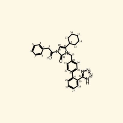 O=C(Cc1ccccc1)n1cc(C2CCCCC2)n(Cc2ccc(-c3ccccc3-c3nnn[nH]3)cc2)c1=O